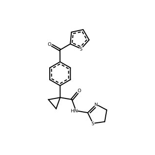 O=C(c1ccc(C2(C(=O)NC3=NCCS3)CC2)cc1)c1cccs1